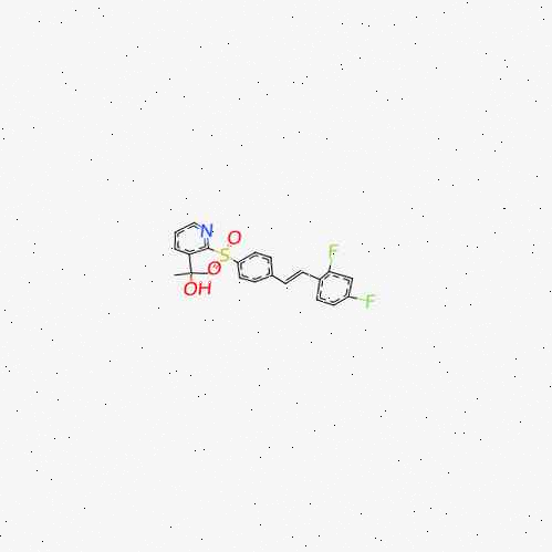 CC(C)(O)c1cccnc1S(=O)(=O)c1ccc(/C=C/c2ccc(F)cc2F)cc1